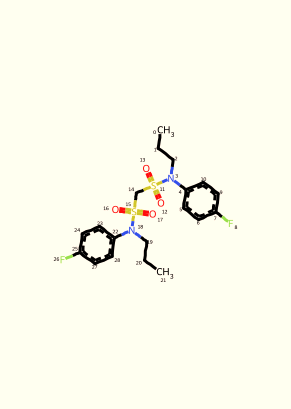 CCCN(c1ccc(F)cc1)S(=O)(=O)CS(=O)(=O)N(CCC)c1ccc(F)cc1